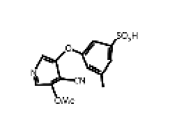 COc1cncc(Oc2cc(C)cc(S(=O)(=O)O)c2)c1C#N